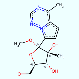 CO[C@@]1(c2ccc3c(C)ncnn23)O[C@H](CO)[C@@H](O)[C@@]1(C)O